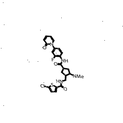 CNC1CC(C(=O)Nc2ccc(-n3ccccc3=O)cc2F)CC1CNC(=O)c1ccc(Cl)s1